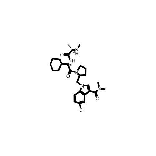 CN[C@@H](C)C(=O)N[C@H](C(=O)N1CCCC1Cn1cc(C(=O)N(C)C)c2cc(Cl)ccc21)C1CCCCC1